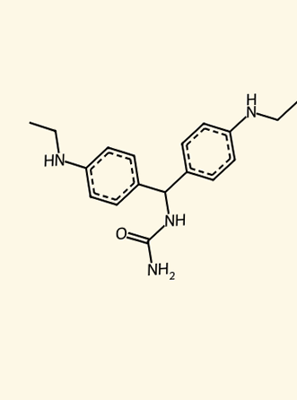 CCNc1ccc(C(NC(N)=O)c2ccc(NCC)cc2)cc1